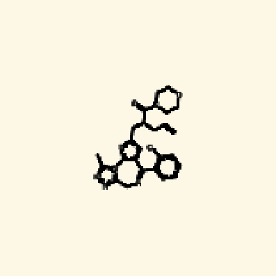 C=CCC(Cc1cc2c(s1)-n1c(C)nnc1CN=C2c1ccccc1Cl)C(=O)N1CCOCC1